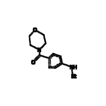 CCNc1ccc(C(=O)N2CCOCC2)cc1